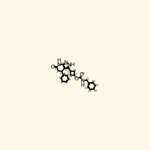 O=C1CC(c2ccccc2)c2c(n[nH]c2C2CC(OC(=O)NCc3ccccc3)C2)N1